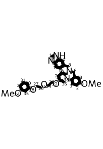 COc1cccc(CN(Cc2ccc3nc[nH]c3c2)c2ccc(OCCOCCOc3cccc(OC)c3)cn2)c1